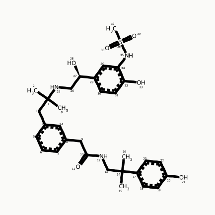 CC(C)(Cc1cccc(CC(=O)NCC(C)(C)c2ccc(O)cc2)c1)NC[C@@H](O)c1ccc(O)c(NS(C)(=O)=O)c1